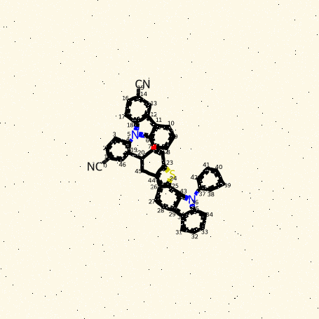 N#Cc1ccc(-n2c3ccccc3c3cc(C#N)ccc32)c(C2C=Cc3sc4c(ccc5c6ccccc6n(-c6ccccc6)c54)c3C2)c1